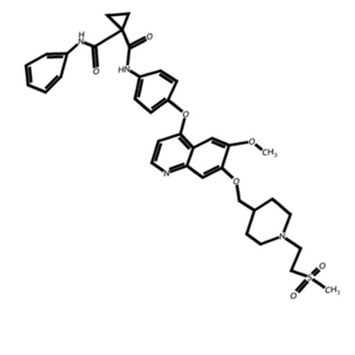 COc1cc2c(Oc3ccc(NC(=O)C4(C(=O)Nc5ccccc5)CC4)cc3)ccnc2cc1OCC1CCN(CCS(C)(=O)=O)CC1